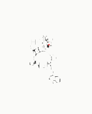 CCC(=O)O[C@@H]1CC(=O)NCCCN(CCCc2ccnc3ccccc23)C[C@H](O)[C@H](C)C[C@H](CC=O)[C@H](O[C@@H]2OC(C)[C@@H](O)C(N(C)C)C2O)[C@H]1OC